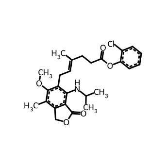 COc1c(C)c2c(c(NC(C)C)c1C/C=C(\C)CCC(=O)Oc1ccccc1Cl)C(=O)OC2